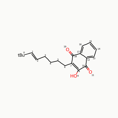 CC(C)(C)C=CCCCCC1=C(O)C(=O)c2ccccc2C1=O